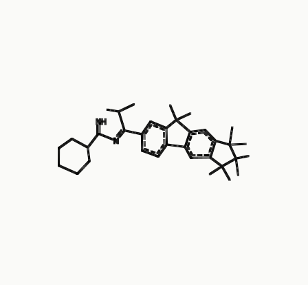 CC(C)/C(=N\C(=N)C1CCCCC1)c1ccc2c(c1)C(C)(C)c1cc3c(cc1-2)C(C)(C)C(C)(C)C3(C)C